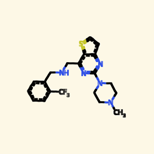 CN1CCN(c2nc(CNCc3ccccc3C(F)(F)F)c3sccc3n2)CC1